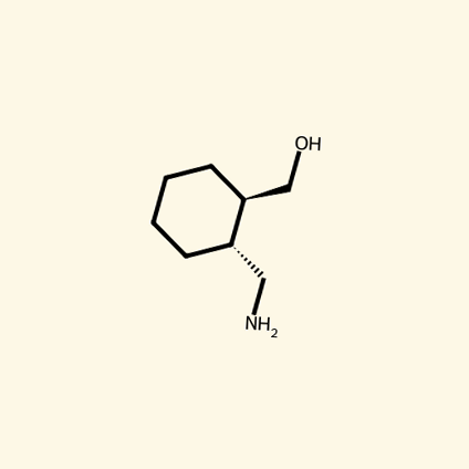 NC[C@@H]1CCCC[C@H]1CO